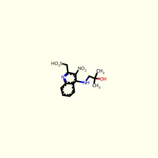 CC(C)(O)CNc1c([N+](=O)[O-])c(CS(=O)(=O)O)nc2ccccc12